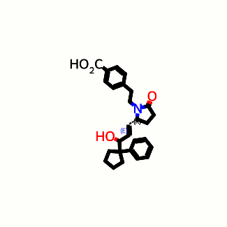 O=C(O)c1ccc(CCN2C(=O)CC[C@@H]2/C=C/C(O)C2(c3ccccc3)CCCC2)cc1